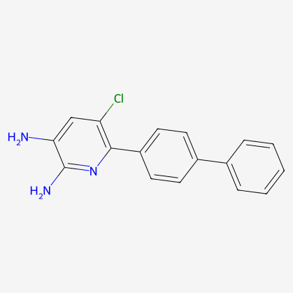 Nc1cc(Cl)c(-c2ccc(-c3ccccc3)cc2)nc1N